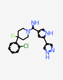 N=C(c1c[nH]c(-c2cn[nH]c2)c1)N1CCC(F)(c2ccccc2Cl)CC1